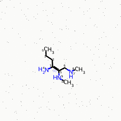 CCC/C(N)=C(\CNC)NC